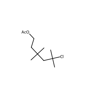 CC(=O)OCCC(C)(C)CC(C)(C)Cl